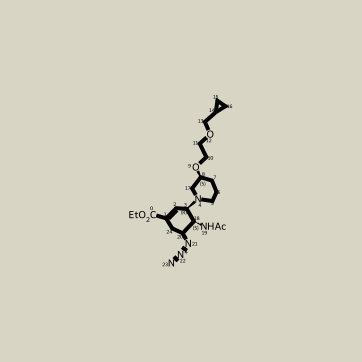 CCOC(=O)C1=C[C@@H](N2CCC[C@H](OCCOCC3CC3)C2)[C@H](NC(C)=O)C(N=[N+]=[N-])C1